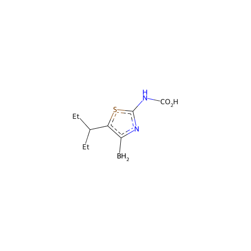 Bc1nc(NC(=O)O)sc1C(CC)CC